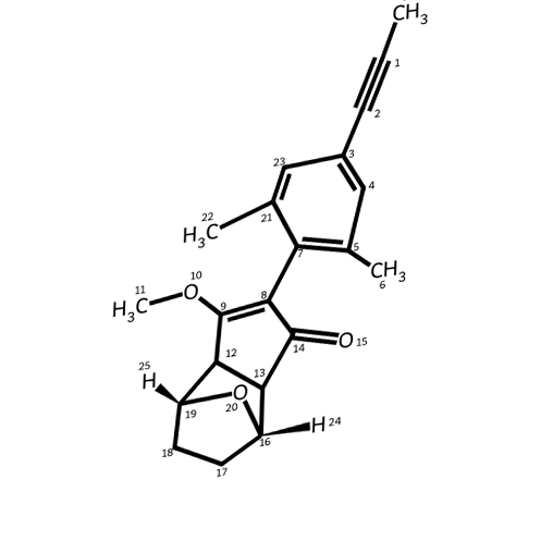 CC#Cc1cc(C)c(C2=C(OC)C3C(C2=O)[C@@H]2CC[C@H]3O2)c(C)c1